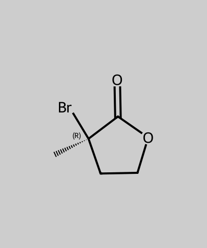 C[C@@]1(Br)CCOC1=O